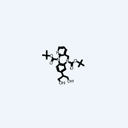 CC(C)(C)OC(=O)N1Cc2cccnc2N(C(=O)OC(C)(C)C)c2ccc(C(CO)CO)cc21